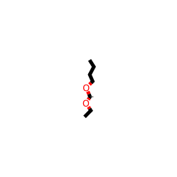 CCCCO[CH]OCC